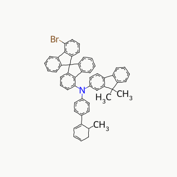 CC1CC=CC=C1c1ccc(N(c2ccc3c(c2)C(C)(C)c2ccccc2-3)c2cccc3c2-c2ccccc2C32c3ccccc3-c3c(Br)cccc32)cc1